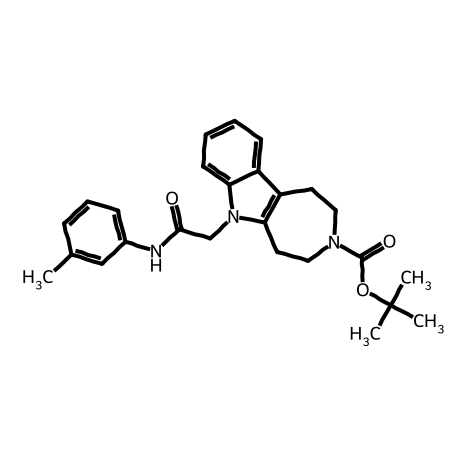 Cc1cccc(NC(=O)Cn2c3c(c4ccccc42)CCN(C(=O)OC(C)(C)C)CC3)c1